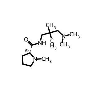 CN(C)CC(C)(C)CNC(=O)[C@H]1CCCN1C